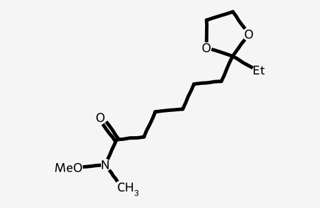 CCC1(CCCCCC(=O)N(C)OC)OCCO1